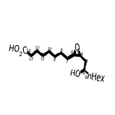 CCCCCC[C@@H](O)CC1OC1CCCCCCCC(=O)O